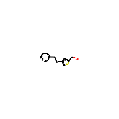 OCc1cc(CCc2ccccc2)cs1